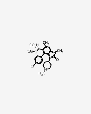 Cc1cc2c(c(-c3ccc(Cl)cc3)c1[C@H](OC(C)(C)C)C(=O)O)n(C1CCN(C)CC1)c(=O)n2C